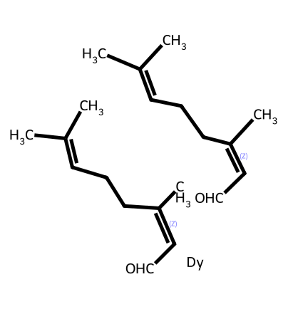 CC(C)=CCC/C(C)=C\C=O.CC(C)=CCC/C(C)=C\C=O.[Dy]